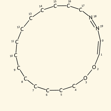 C1=COOCCCCCCCCCCCCCCN=N1